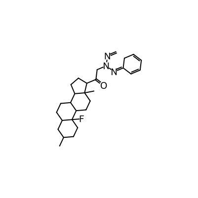 C=NN(CC(=O)C1CCC2C3CCC4CC(C)CCC4(F)C3CCC12C)/N=C1/C=CC=CC1